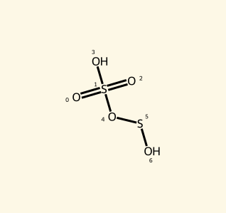 O=S(=O)(O)OSO